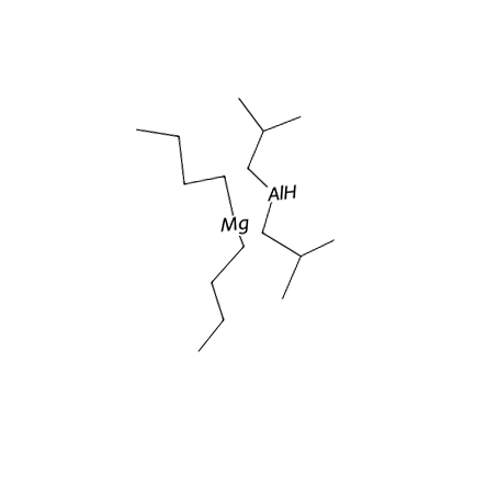 CC(C)[CH2][AlH][CH2]C(C)C.CCC[CH2][Mg][CH2]CCC